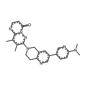 Cc1c(N2CCc3ncc(-c4ccc(N(C)C)nc4)cc3C2)nn2c(=O)ccnc2c1C